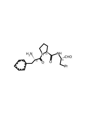 CC(C)C[C@@H](C=O)NC(=O)[C@@H]1CCCN1C(=O)[C@@H](N)Cc1ccccc1